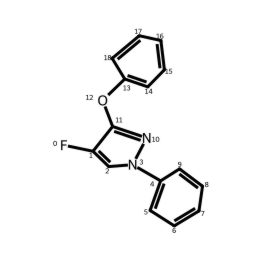 Fc1cn(-c2ccccc2)nc1Oc1ccccc1